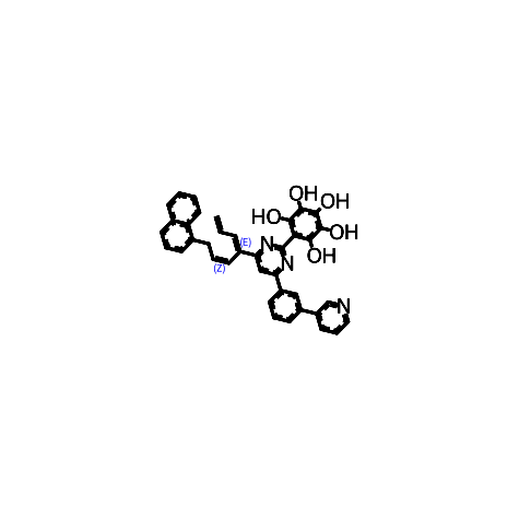 C=C/C=C(\C=C/Cc1cccc2ccccc12)c1cc(-c2cccc(-c3cccnc3)c2)nc(-c2c(O)c(O)c(O)c(O)c2O)n1